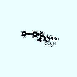 CC(C)(C)OC(=O)C[C@H](CCC(=O)O)c1nnn(-c2ccc(C#CC3CCCC3)cc2)c1C1CC1